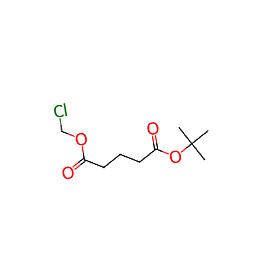 CC(C)(C)OC(=O)CCCC(=O)OCCl